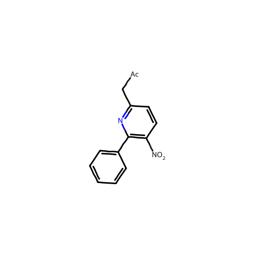 CC(=O)Cc1ccc([N+](=O)[O-])c(-c2ccccc2)n1